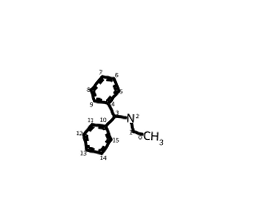 CC[N]C(c1ccccc1)c1ccccc1